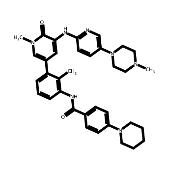 Cc1c(NC(=O)c2ccc(N3CCCCC3)cc2)cccc1-c1cc(Nc2ccc(N3CCN(C)CC3)cn2)c(=O)n(C)c1